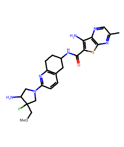 COCC1(F)CN(c2ccc3c(n2)CCC(NC(=O)c2sc4nc(C)cnc4c2N)C3)CC1N